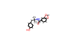 CCC(Cc1ccc(O)cc1)(NC(=O)c1ccc2c(c1)OCO2)C(=O)O